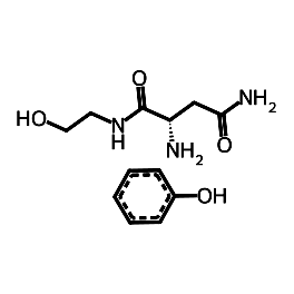 NC(=O)C[C@H](N)C(=O)NCCO.Oc1ccccc1